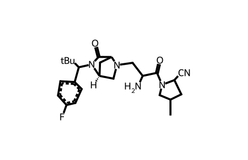 CC1CC(C#N)N(C(=O)C(N)CN2C[C@@H]3CC2C(=O)N3C(c2ccc(F)cc2)C(C)(C)C)C1